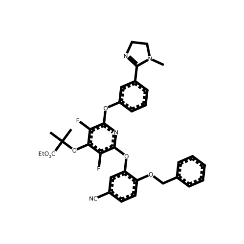 CCOC(=O)C(C)(C)Oc1c(F)c(Oc2cccc(C3=NCCN3C)c2)nc(Oc2cc(C#N)ccc2OCc2ccccc2)c1F